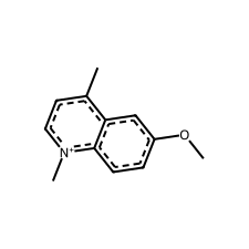 COc1ccc2c(c1)c(C)cc[n+]2C